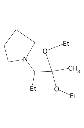 CCOC(C)(OCC)[C](CC)N1CCCC1